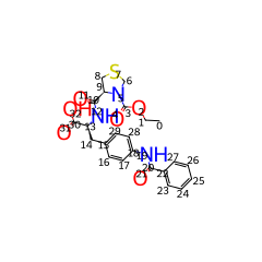 CCOC(=O)N1CSC[C@@H]1C(=O)N[C@@H](Cc1ccc(NC(=O)c2ccccc2)cc1)C(=O)O